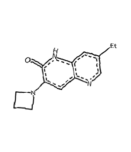 CCc1cnc2cc(N3CCC3)c(=O)[nH]c2c1